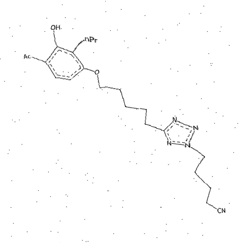 CCCc1c(OCCCCCc2nnn(CCCCC#N)n2)ccc(C(C)=O)c1O